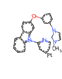 CN1C=CN(c2cccc(Oc3ccc4c5ccccc5n(-c5ccccn5)c4c3)c2)C1.[Pt]